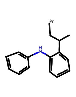 CC(C)CC(C)c1ccccc1Nc1ccccc1